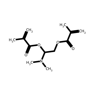 C=C(C)C(=O)OCC(OC(=O)C(=C)C)N(C)C